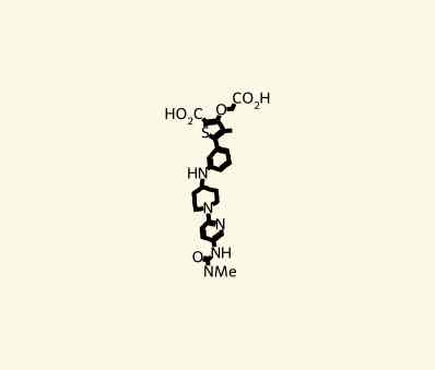 CNC(=O)Nc1ccc(N2CCC(Nc3cccc(-c4sc(C(=O)O)c(OCC(=O)O)c4C)c3)CC2)nc1